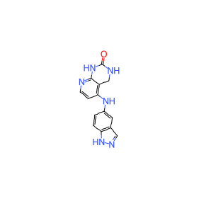 O=C1NCc2c(Nc3ccc4[nH]ncc4c3)ccnc2N1